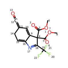 COC(=O)C1(C(=O)OC)C2=CC(=C=O)CC=C2N=C1C(F)(F)F